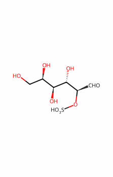 O=C[C@@H](OS(=O)(=O)O)[C@@H](O)[C@@H](O)[C@H](O)CO